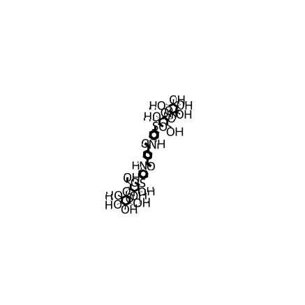 O=C(Nc1ccc(S[C@@H]2O[C@H](CO)[C@@H](O[C@H]3O[C@H](CO)[C@@H](O)[C@H](O)[C@H]3O)[C@H](O)[C@H]2O)cc1)c1ccc(C(=O)Nc2ccc(S[C@@H]3O[C@H](CO)[C@@H](O[C@H]4O[C@H](CO)[C@@H](O)[C@H](O)[C@H]4O)[C@H](O)[C@H]3O)cc2)cc1